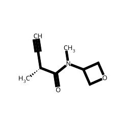 C#C[C@@H](C)C(=O)N(C)C1COC1